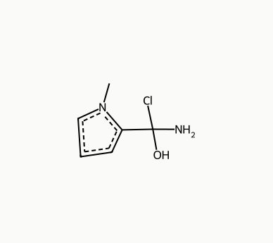 Cn1cccc1C(N)(O)Cl